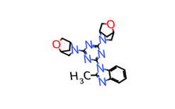 Cc1nc2ccccc2n1-c1nc(N2CC3CC2CO3)nc(N2CC3CC2CO3)n1